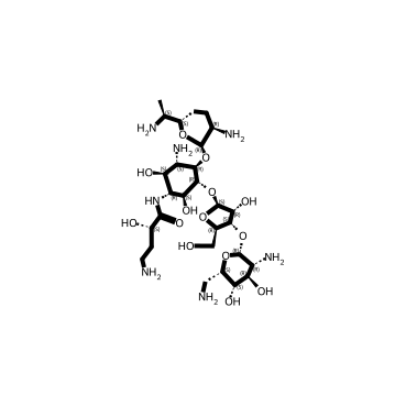 C[C@H](N)[C@@H]1CC[C@@H](N)[C@@H](O[C@@H]2[C@@H](N)[C@H](O)[C@@H](NC(=O)[C@@H](O)CCN)[C@H](O)[C@H]2O[C@@H]2O[C@H](CO)[C@@H](O[C@H]3O[C@@H](CN)[C@@H](O)[C@H](O)[C@H]3N)[C@H]2O)O1